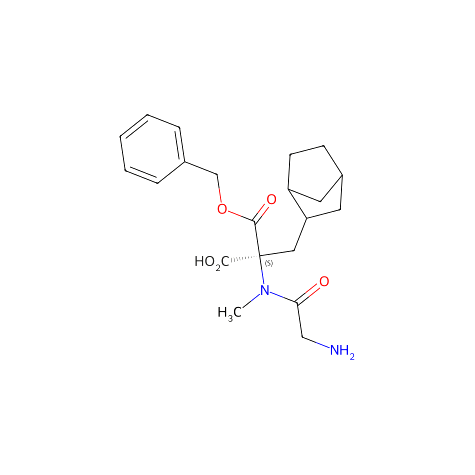 CN(C(=O)CN)[C@@](CC1CC2CCC1C2)(C(=O)O)C(=O)OCc1ccccc1